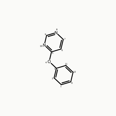 c1ccc(Oc2ccncn2)cc1